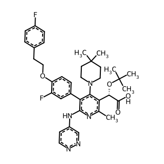 Cc1nc(Nc2ccnnc2)c(-c2ccc(OCCc3ccc(F)cc3)c(F)c2)c(N2CCC(C)(C)CC2)c1[C@H](OC(C)(C)C)C(=O)O